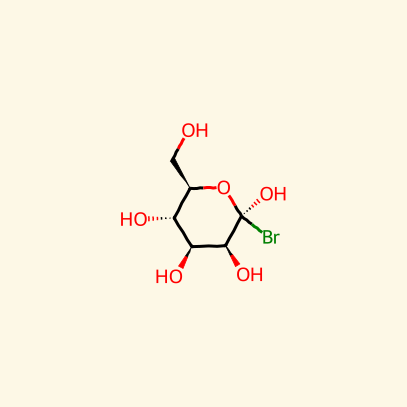 OC[C@H]1O[C@@](O)(Br)[C@@H](O)[C@@H](O)[C@@H]1O